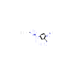 CCNC(=N)Nc1ccc(NC)c(CN)c1